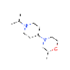 CC1CN(C2CCN(C(C)C)CC2)CCO1